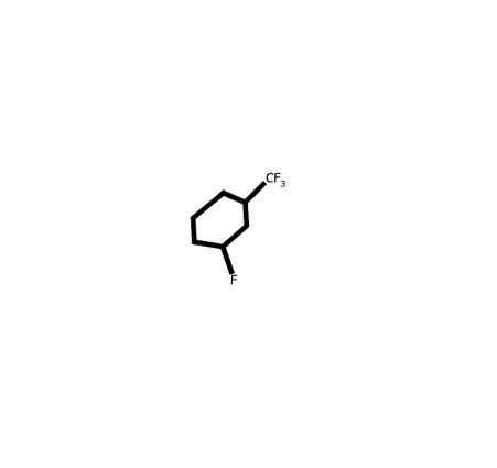 FC1CC[CH]C(C(F)(F)F)C1